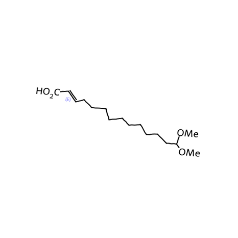 COC(CCCCCCCCCC/C=C/C(=O)O)OC